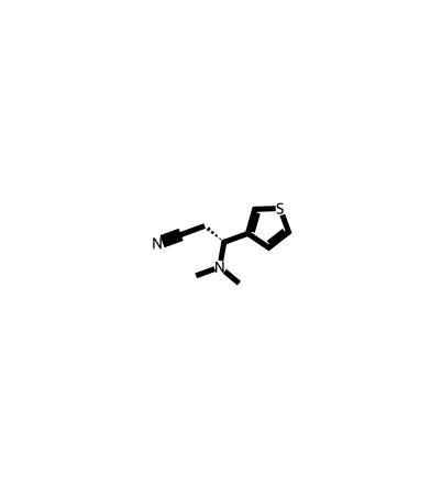 CN(C)[C@H](CC#N)c1ccsc1